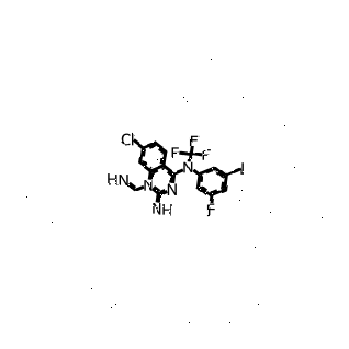 N=Cn1c(=N)nc(N(c2cc(F)cc(I)c2)C(F)(F)F)c2ccc(Cl)cc21